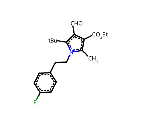 CCOC(=O)c1c(C=O)c(C(C)(C)C)n(CCc2ccc(F)cc2)c1C